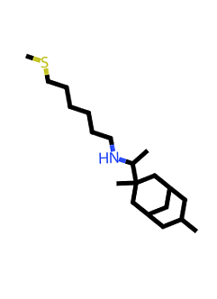 CSCCCCCCNC(C)C1(C)CC2CC(C)CC(C2)C1